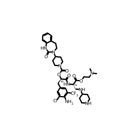 CN(C)CCOC(=O)[C@H](CNC1CCNCC1)NC(=O)[C@@H](Cc1cc(Cl)c(N)c(C(F)(F)F)c1)OC(=O)N1CCC(N2CCc3ccccc3NC2=O)CC1